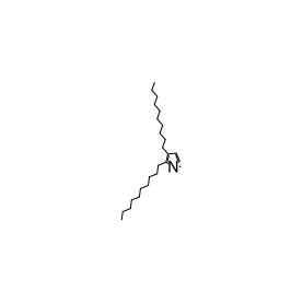 CCCCCCCCCCC1=C(CCCCCCCCCC)[N]C=C1